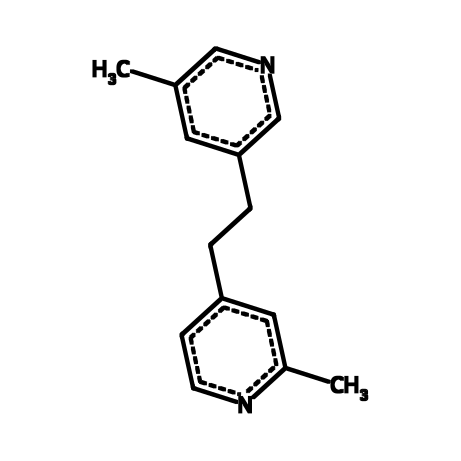 Cc1cncc(CCc2ccnc(C)c2)c1